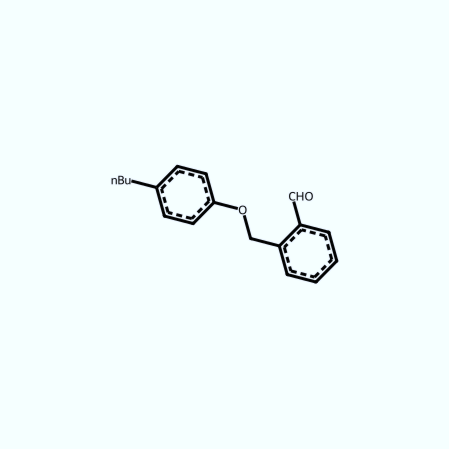 CCCCc1ccc(OCc2ccccc2C=O)cc1